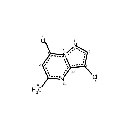 Cc1cc(Cl)n2ncc(Cl)c2n1